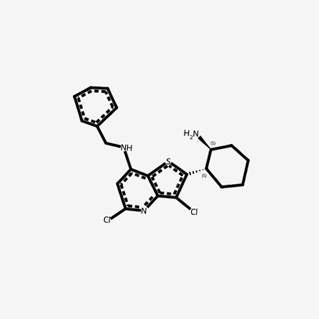 N[C@H]1CCCC[C@@H]1c1sc2c(NCc3ccccc3)cc(Cl)nc2c1Cl